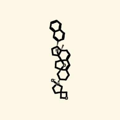 C[C@]12CC=C3C=C4CC[C@H]([N+]5([O-])CCC6(COC6)C5)C[C@]45CCC3(O5)[C@@H]1CC[C@@H]2c1ccc2ccccc2c1